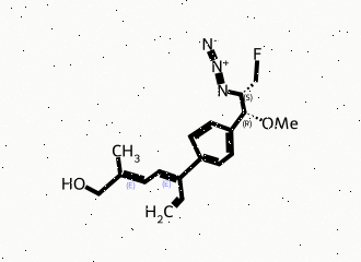 C=C/C(=C\C=C(/C)CO)c1ccc([C@@H](OC)[C@@H](CF)N=[N+]=[N-])cc1